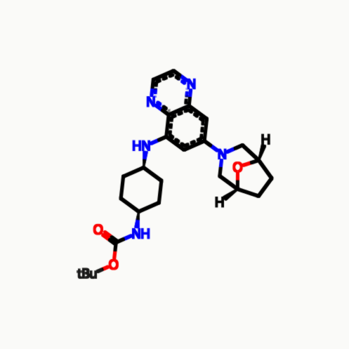 CC(C)(C)OC(=O)N[C@H]1CC[C@@H](Nc2cc(N3C[C@H]4CC[C@@H](C3)O4)cc3nccnc23)CC1